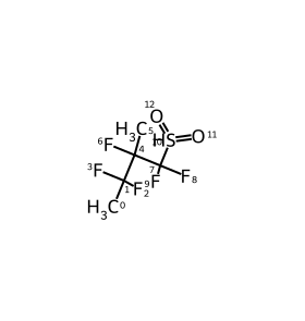 CC(F)(F)C(C)(F)C(F)(F)[SH](=O)=O